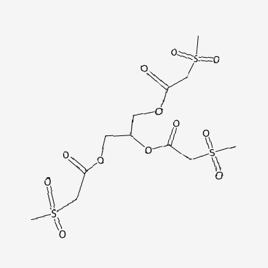 CS(=O)(=O)CC(=O)OCC(COC(=O)CS(C)(=O)=O)OC(=O)CS(C)(=O)=O